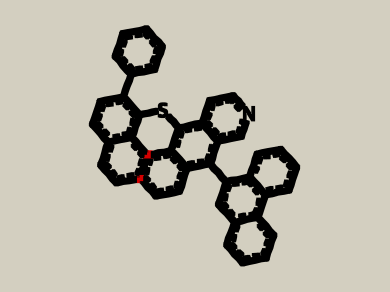 c1ccc(-c2ccc3ccccc3c2Sc2c3ccccc3c(-c3cc4ccccc4c4ccccc34)c3cnccc23)cc1